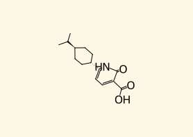 CC(C)[C@H]1CC[C@H](c2ccc(C(=O)O)c(=O)[nH]2)CC1